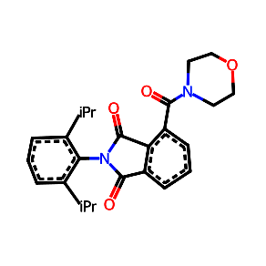 CC(C)c1cccc(C(C)C)c1N1C(=O)c2cccc(C(=O)N3CCOCC3)c2C1=O